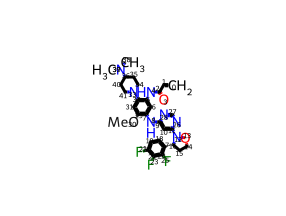 C=CC(=O)Nc1cc(Nc2cc(N3OCC[C@@H]3c3ccc(F)c(F)c3F)ncn2)c(OC)cc1N1CCC(N(C)C)CC1